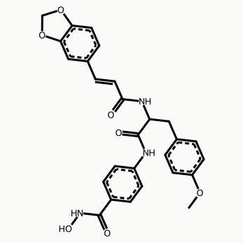 COc1ccc(CC(NC(=O)/C=C/c2ccc3c(c2)OCO3)C(=O)Nc2ccc(C(=O)NO)cc2)cc1